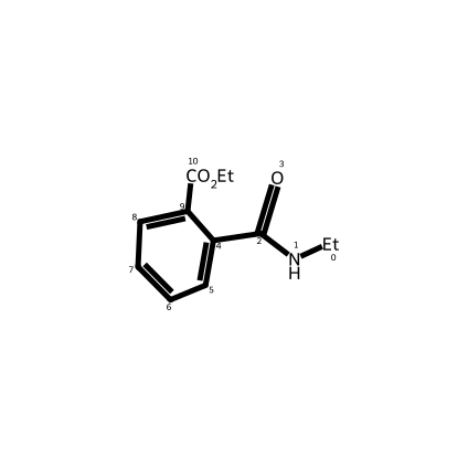 CCNC(=O)c1ccccc1C(=O)OCC